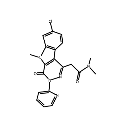 CN(C)C(=O)Cc1nn(-c2ccccn2)c(=O)c2c1c1ccc(Cl)cc1n2C